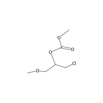 COCC(CCl)OC(=O)OC